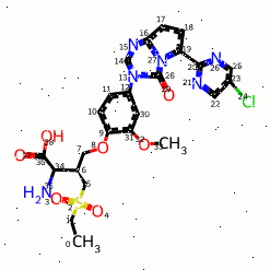 CCS(=O)(=O)C[C@H](COc1ccc(-n2cnc3ccc(-c4ncc(Cl)cn4)n3c2=O)cc1OC)C(N)C(=O)O